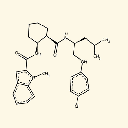 CC(C)C[C@@H](CNc1ccc(Cl)cc1)NC(=O)[C@@H]1CCCC[C@@H]1NC(=O)c1cc2ccccc2n1C